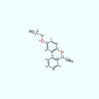 CCCCC(Sc1ccc(OCC(=O)O)cc1)c1ccccc1